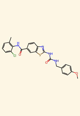 COc1ccc(CNC(=O)Nc2nc3ccc(C(=O)Nc4c(C)cccc4Cl)cc3s2)cc1